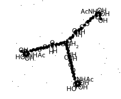 CC(=O)N[C@@H]1[C@@H](O)[C@@H](O)[C@@H](CO)O[C@@H]1CCCCCOCCOCCNC(=O)NCCCOCC(N)(COCCCNC(=O)NCCOCCOCCCCC[C@H]1O[C@H](CO)[C@H](O)[C@H](O)[C@H]1NC(C)=O)COCCCNC(=O)NCCOCCOCCCCC[C@H]1O[C@H](CO)[C@H](O)[C@H](O)[C@H]1NC(C)=O